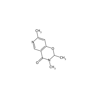 Cc1cc2c(cn1)C(=O)N(C)C(C)O2